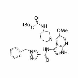 COc1cnc2[nH]cc(NC(=O)c3cnn(Cc4ccccc4)c3)c2c1N1CCCC(NC(=O)OC(C)(C)C)C1